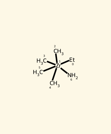 C[CH2][Zr]([CH3])([CH3])([CH3])([CH3])[NH2]